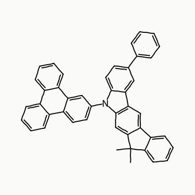 CC1(C)c2ccccc2-c2cc3c4cc(-c5ccccc5)ccc4n(-c4ccc5c6ccccc6c6ccccc6c5c4)c3cc21